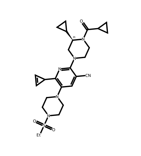 CCS(=O)(=O)N1CCN(c2cc(C#N)c(N3CCN(C(=O)C4CC4)[C@H](C4CC4)C3)nc2C2C=C2)CC1